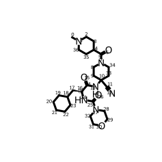 CN1CCC(C(=O)N2CCC(C#N)(NC(=O)[C@H](CC3CCCCC3)NC(=O)N3CCOCC3)CC2)CC1